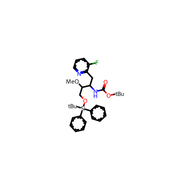 COC(CO[Si](c1ccccc1)(c1ccccc1)C(C)(C)C)C(Cc1ncccc1F)NC(=O)OC(C)(C)C